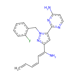 C=C/C=C\C=C(/N)c1cc(-c2nccc(N)n2)n(Cc2ccccc2F)n1